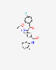 CCOc1cc(F)ccc1C(=O)C1NCC12CC(C(=O)N(C)c1ccccc1C)C2